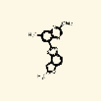 COc1cnc2c(-c3nc4ccc5c(c4s3)C[C@@H](C)O5)cc(C)cc2n1